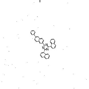 c1ccc(-c2ccc3cc(-c4nc(-c5cccc6ccccc56)nc(-c5cccc6ccccc56)n4)ccc3c2)cc1